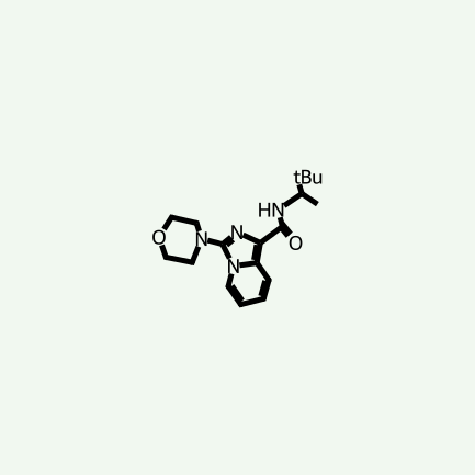 CC(NC(=O)c1nc(N2CCOCC2)n2ccccc12)C(C)(C)C